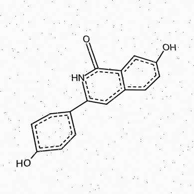 O=c1[nH]c(-c2ccc(O)cc2)cc2ccc(O)cc12